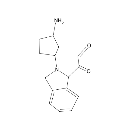 NC1CCC(N2Cc3ccccc3C2C(=O)C=O)C1